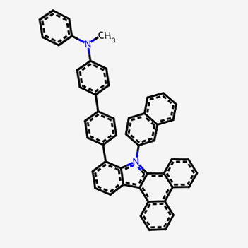 CN(c1ccccc1)c1ccc(-c2ccc(-c3cccc4c5c6ccccc6c6ccccc6c5n(-c5ccc6ccccc6c5)c34)cc2)cc1